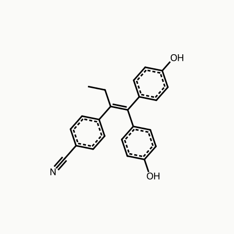 CCC(=C(c1ccc(O)cc1)c1ccc(O)cc1)c1ccc(C#N)cc1